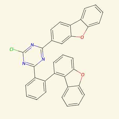 Clc1nc(-c2ccc3c(c2)oc2ccccc23)nc(-c2ccccc2-c2cccc3oc4ccccc4c23)n1